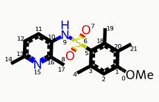 COc1cc(C)c(S(=O)(=O)Nc2ccc(C)nc2C)c(C)c1C